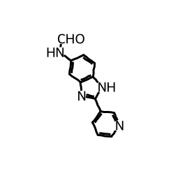 O=CNc1ccc2[nH]c(-c3cccnc3)nc2c1